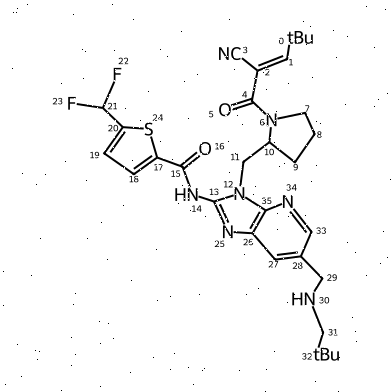 CC(C)(C)C=C(C#N)C(=O)N1CCCC1Cn1c(NC(=O)c2ccc(C(F)F)s2)nc2cc(CNCC(C)(C)C)cnc21